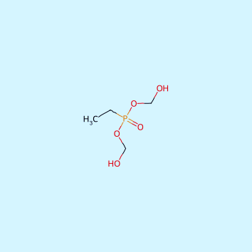 CCP(=O)(OCO)OCO